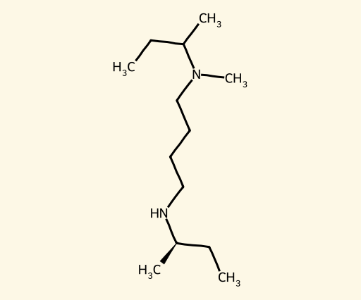 CCC(C)N(C)CCCCN[C@H](C)CC